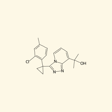 Cc1ccc(C2(c3nnc4c(C(C)(C)O)cccn34)CC2)c(Cl)c1